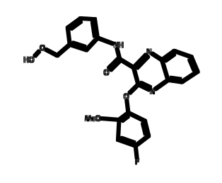 COc1cc(F)ccc1Oc1nc2ccccc2nc1C(=O)Nc1cccc(COO)c1